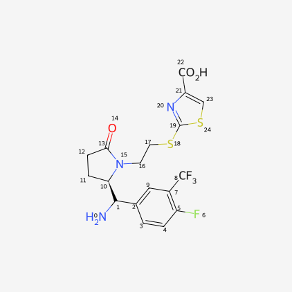 NC(c1ccc(F)c(C(F)(F)F)c1)[C@H]1CCC(=O)N1CCSc1nc(C(=O)O)cs1